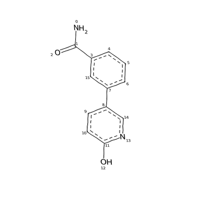 NC(=O)c1cccc(-c2ccc(O)nc2)c1